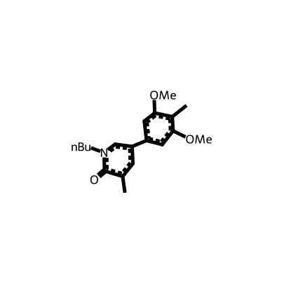 CCCCn1cc(-c2cc(OC)c(C)c(OC)c2)cc(C)c1=O